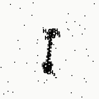 CC(C)(C)OC(=O)NCCOCCCCCOCCCc1ccnc2c(S(C)(=O)=O)cccc12